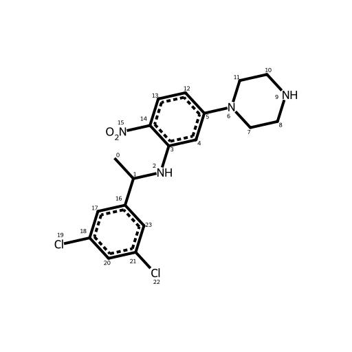 CC(Nc1cc(N2CCNCC2)ccc1[N+](=O)[O-])c1cc(Cl)cc(Cl)c1